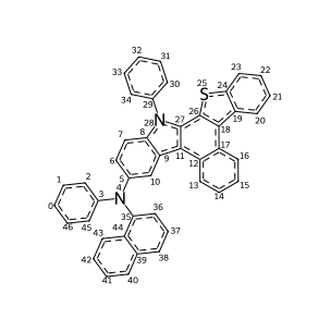 c1ccc(N(c2ccc3c(c2)c2c4ccccc4c4c5ccccc5sc4c2n3-c2ccccc2)c2cccc3ccccc23)cc1